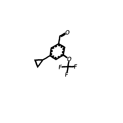 O=Cc1cc(OC(F)(F)F)cc(C2CC2)c1